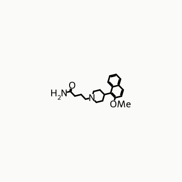 COc1ccc2ccccc2c1C1CCN(CCCC(N)=O)CC1